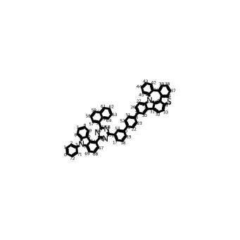 c1ccc(-n2c3ccccc3c3c(-c4nc(-c5cccc(-c6ccc(-c7ccc8c(c7)c7ccc9sc%10cccc%11c%12ccccc%12n8c7c9c%10%11)cc6)c5)nc(-c5cccc6ccccc56)n4)cccc32)cc1